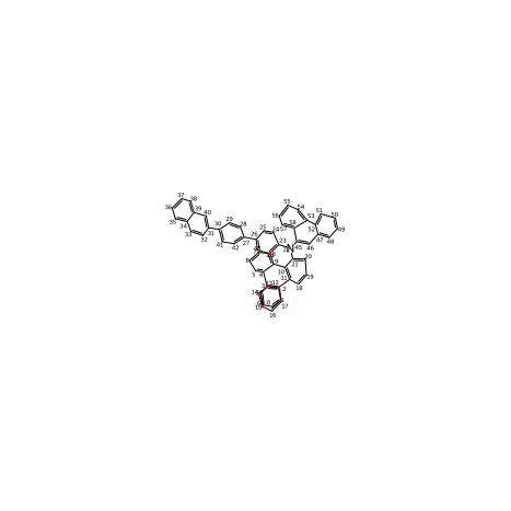 c1ccc(-c2ccccc2-c2c(-c3ccccc3)cccc2N(c2ccc(-c3ccc(-c4ccc5ccccc5c4)cc3)cc2)c2cc3ccccc3c3ccccc23)cc1